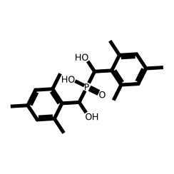 Cc1cc(C)c(C(O)P(=O)(O)C(O)c2c(C)cc(C)cc2C)c(C)c1